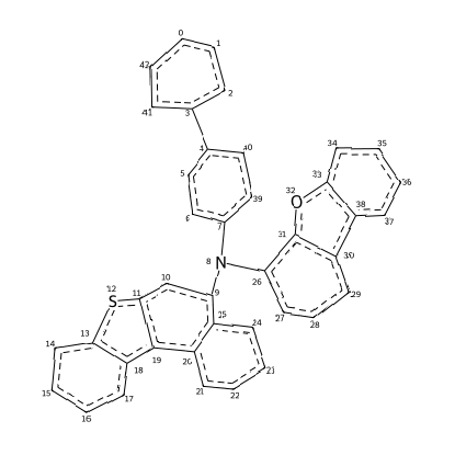 c1ccc(-c2ccc(N(c3cc4sc5ccccc5c4c4ccccc34)c3cccc4c3oc3ccccc34)cc2)cc1